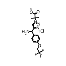 COC(=O)C(C)(C)n1cc(C(N)c2ccc(OCC(F)(F)F)cc2)nn1.Cl